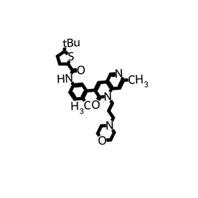 Cc1cc2c(cn1)cc(-c1cc(NC(=O)C3CCC(C(C)(C)C)S3)ccc1C)c(=O)n2CCCN1CCOCC1